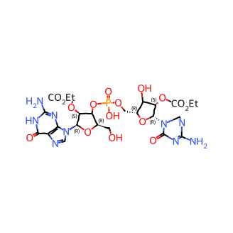 CCOC(=O)O[C@H]1C(O)[C@@H](COP(=O)(O)OC2[C@@H](CO)O[C@@H](n3cnc4c(=O)[nH]c(N)nc43)[C@H]2OC(=O)OCC)O[C@H]1n1cnc(N)nc1=O